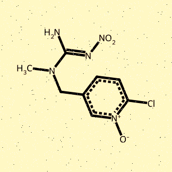 CN(Cc1ccc(Cl)[n+]([O-])c1)C(N)=N[N+](=O)[O-]